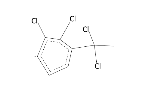 CC(Cl)(Cl)c1cc[c]c(Cl)c1Cl